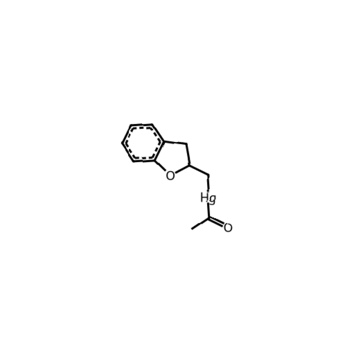 C[C](=O)[Hg][CH2]C1Cc2ccccc2O1